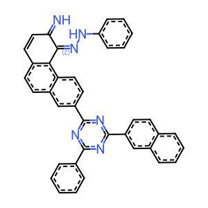 N=C1C=Cc2ccc3cc(-c4nc(-c5ccccc5)nc(-c5ccc6ccccc6c5)n4)ccc3c2/C1=N/Nc1ccccc1